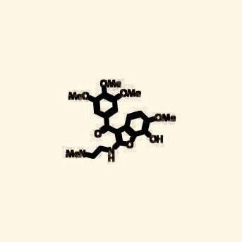 CNCCNc1oc2c(O)c(OC)ccc2c1C(=O)c1cc(OC)c(OC)c(OC)c1